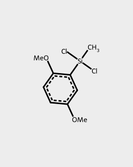 COc1ccc(OC)c([Si](C)(Cl)Cl)c1